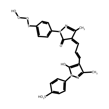 CC1=NN(c2ccc(SOOO)cc2)C(=O)C1=CC=Cc1c(C)nn(-c2ccc(S(=O)(=O)O)cc2)c1O